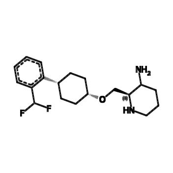 NC1CCCN[C@H]1CO[C@H]1CC[C@@H](c2ccccc2C(F)F)CC1